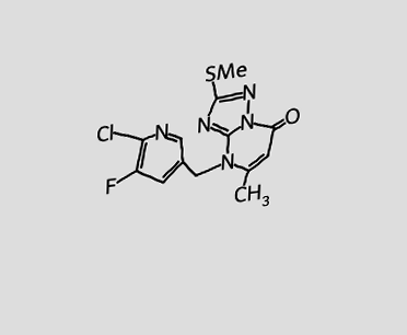 CSc1nc2n(Cc3cnc(Cl)c(F)c3)c(C)cc(=O)n2n1